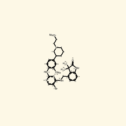 COCCN1CCCC(c2ccc(Nc3ncc(Br)c(NCc4cccc5c4C(C)(C)C(=O)N5)n3)c(OC)c2)C1